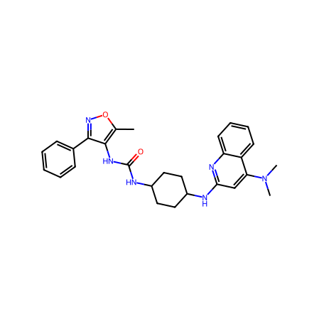 Cc1onc(-c2ccccc2)c1NC(=O)NC1CCC(Nc2cc(N(C)C)c3ccccc3n2)CC1